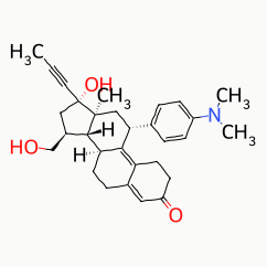 CC#C[C@]1(O)C[C@H](CO)[C@H]2[C@@H]3CCC4=CC(=O)CCC4=C3[C@@H](c3ccc(N(C)C)cc3)C[C@@]21C